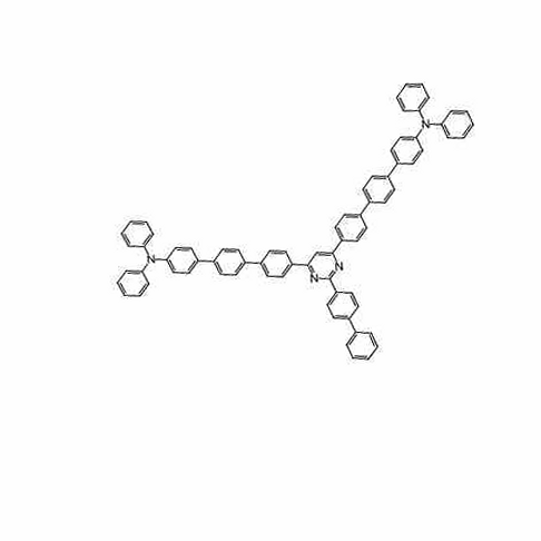 c1ccc(-c2ccc(-c3nc(-c4ccc(-c5ccc(-c6ccc(N(c7ccccc7)c7ccccc7)cc6)cc5)cc4)cc(-c4ccc(-c5ccc(-c6ccc(N(c7ccccc7)c7ccccc7)cc6)cc5)cc4)n3)cc2)cc1